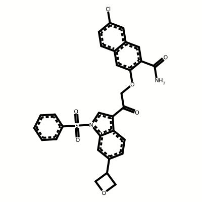 NC(=O)c1cc2cc(Cl)ccc2cc1OCC(=O)c1cn(S(=O)(=O)c2ccccc2)c2cc(C3COC3)ccc12